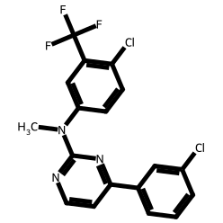 CN(c1ccc(Cl)c(C(F)(F)F)c1)c1nccc(-c2cccc(Cl)c2)n1